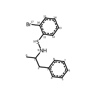 CC(Cc1ccccc1)NSc1ccccc1Br